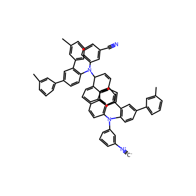 [C-]#[N+]c1cccc(N(C2=C3C=CC4=C5C(=CC=C(C=C2)C35)C(N(c2cccc(C#N)c2)c2ccc(-c3cccc(C)c3)cc2-c2cccc(C)c2)C=C4)c2ccc(-c3cccc(C)c3)cc2-c2cccc(C)c2)c1